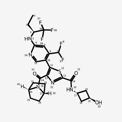 CC[C@H](Nc1cc(C(F)F)c(-c2sc(C(=O)N[C@H]3C[C@H](O)C3)nc2C(=O)N2[C@H]3CC[C@H]2CC3)cn1)C(F)(F)F